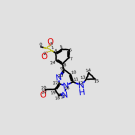 CS(=O)(=O)c1cccc(-c2cc(NC3CC3)n3ncc(C=O)c3n2)c1